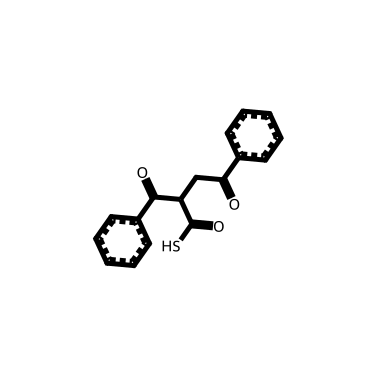 O=C(CC(C(=O)S)C(=O)c1ccccc1)c1ccccc1